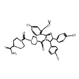 CCOc1cc(C(F)(F)F)ccc1C1=NC(c2ccc(Cl)cc2)C(c2ccc(Cl)cc2)N1C(=O)N1CCN(C(=O)N2CCC(C(N)=O)CC2)CC1